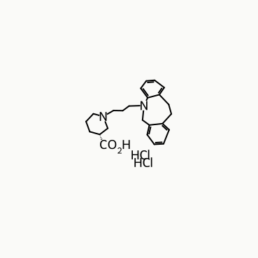 Cl.Cl.O=C(O)[C@@H]1CCCN(CCCN2Cc3ccccc3CCc3ccccc32)C1